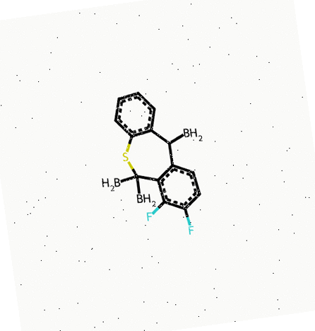 BC1c2ccccc2SC(B)(B)c2c1ccc(F)c2F